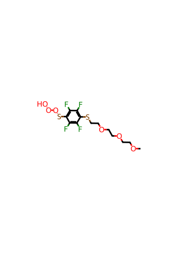 COCCOCCOCCSc1c(F)c(F)c(SOOO)c(F)c1F